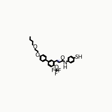 CCCCOCCOc1ccc(-c2ccc(OC(F)(F)F)c(/C=C/C(=O)Nc3ccc(S)cc3)c2)cc1